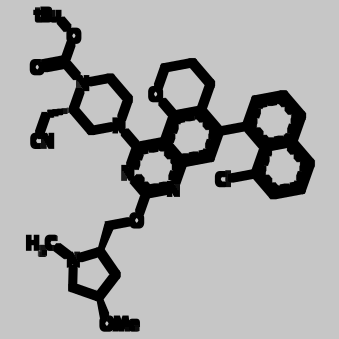 CO[C@@H]1C[C@H](COc2nc(N3CCN(C(=O)OC(C)(C)C)[C@@H](CC#N)C3)c3c4c(c(-c5cccc6cccc(Cl)c56)cc3n2)CCCO4)N(C)C1